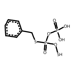 O=P(O)(O)OP(=O)(OS)SCc1ccccc1